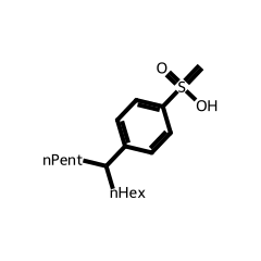 C=S(=O)(O)c1ccc(C(CCCCC)CCCCCC)cc1